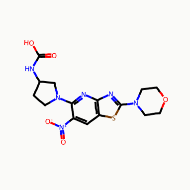 O=C(O)NC1CCN(c2nc3nc(N4CCOCC4)sc3cc2[N+](=O)[O-])C1